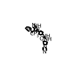 CN1CCN(c2ccc(NC(=O)Nc3ccc(-c4nc(C(N5CC6CCC(C5)O6)C(F)(F)F)c5cn[nH]c5n4)cc3)cc2)CC1